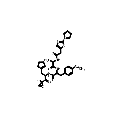 COc1ccc(CC(NC(=O)C(C)NC(=O)Cc2cnc(N3CCCC3)s2)C(=O)NC(CC2=CCCC2)C(=O)C2(C)CO2)cc1